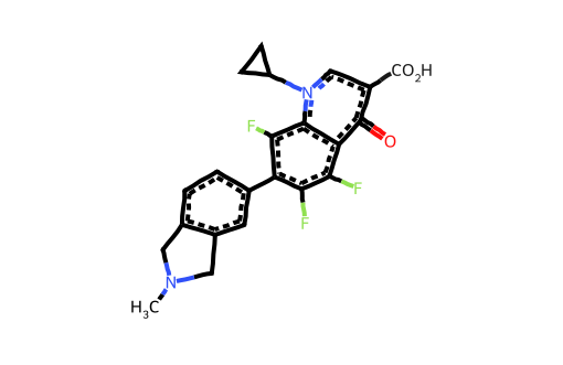 CN1Cc2ccc(-c3c(F)c(F)c4c(=O)c(C(=O)O)cn(C5CC5)c4c3F)cc2C1